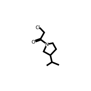 CC(C)C1CCN(C(=O)CCl)C1